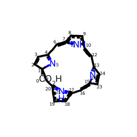 O=C(O)C12C=CC(=N1)C=c1ccc([nH]1)=CC1=NC(=Cc3ccc([nH]3)C2)C=C1